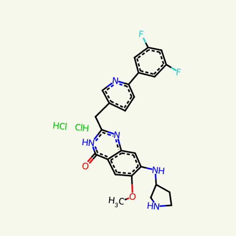 COc1cc2c(=O)[nH]c(Cc3ccc(-c4cc(F)cc(F)c4)nc3)nc2cc1NC1CCNC1.Cl.Cl